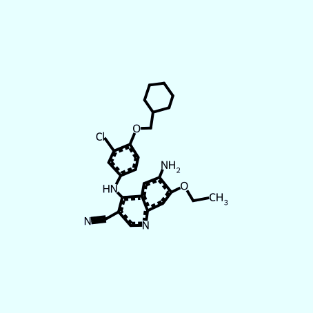 CCOc1cc2ncc(C#N)c(Nc3ccc(OCC4CCCCC4)c(Cl)c3)c2cc1N